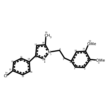 COc1ccc(CCn2nc(-c3ccc(Cl)cc3)cc2C)cc1OC